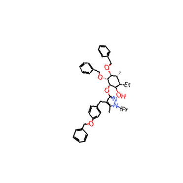 CC[C@H]1C(O)[C@@H](Oc2nn(C(C)C)c(C)c2Cc2ccc(OCc3ccccc3)cc2)[C@H](OCc2ccccc2)[C@@H](OCc2ccccc2)[C@@H]1C